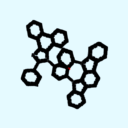 c1ccc(-n2c3ccccc3c3ccc4c5ccccc5n(-c5ccc(-n6c(-c7cccnc7)nc7c8ccccc8c8ccccc8c76)cc5)c4c32)cc1